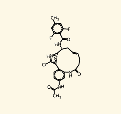 CC(=O)Nc1ccc2c(c1)NC(=O)CC/C=C/C[C@H](NC(=O)c1c(F)cc(C)cc1F)c1nc-2c(Cl)[nH]1